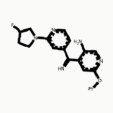 CC(C)Oc1cc(C(=N)c2ccnc(N3CCC(F)C3)c2)c(N)cn1